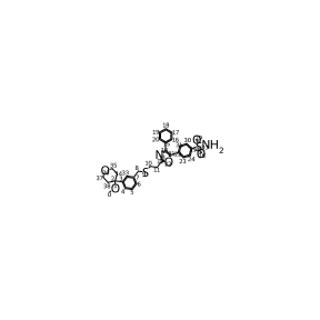 COC1(c2cccc(CSCCc3nc(-c4ccccc4)c(-c4ccc(S(N)(=O)=O)cc4)o3)c2)CCOCC1